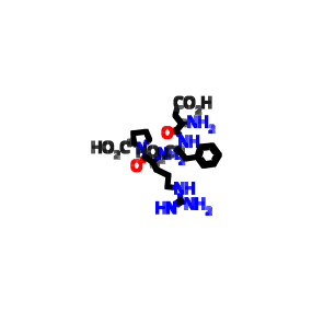 N=C(N)NCCC[C@H](N)C(=O)N1CCC[C@H]1C(=O)O.N[C@@H](CC(=O)O)C(=O)N[C@@H](Cc1ccccc1)C(=O)O